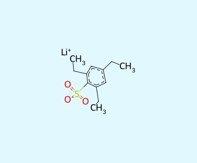 CCc1cc(CC)c(S(=O)(=O)[O-])c(CC)c1.[Li+]